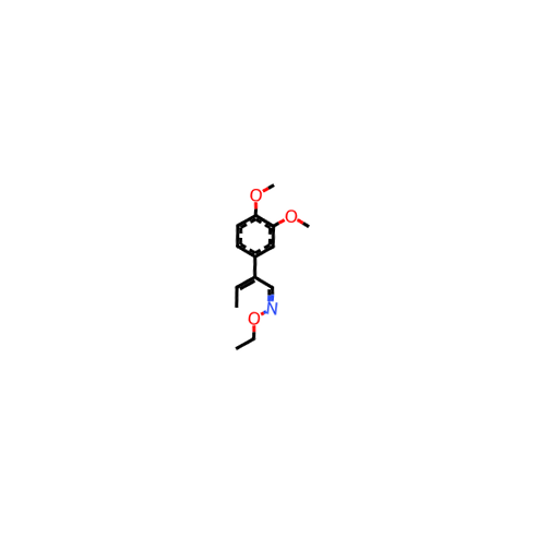 C/C=C(\C=N/OCC)c1ccc(OC)c(OC)c1